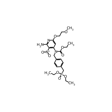 CCOC(=O)N(Cc1ccc(CP(=O)(OCC)OCC)cc1)c1cc(OCCOC)nc(N)c1[N+](=O)[O-]